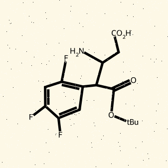 CC(C)(C)OC(=O)C(c1cc(F)c(F)cc1F)C(N)CC(=O)O